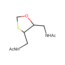 CC(=O)NCC1OCSC1CNC(C)=O